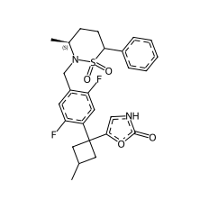 CC1CC(c2c[nH]c(=O)o2)(c2cc(F)c(CN3[C@@H](C)CCC(c4ccccc4)S3(=O)=O)cc2F)C1